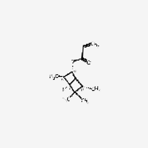 C=CC(=O)O[C@@H]1C2[C@H]([C@H]1C)C(C)(C)[C@H]2C